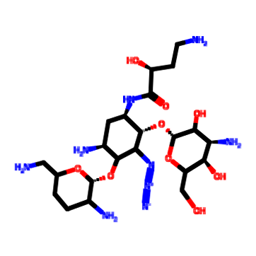 [N-]=[N+]=NC1C(O[C@H]2OC(CN)CCC2N)[C@@H](N)C[C@@H](NC(=O)[C@@H](O)CCN)[C@@H]1O[C@H]1OC(CO)[C@H](O)[C@H](N)C1O